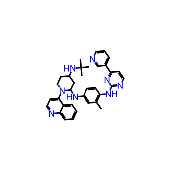 Cc1cc(NC2CC(NC(C)(C)C)CCN2c2ccnc3ccccc23)ccc1Nc1nccc(-c2cccnc2)n1